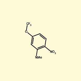 CNc1cc(OC(F)(F)F)ccc1[N+](=O)[O-]